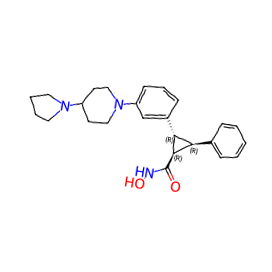 O=C(NO)[C@@H]1[C@H](c2ccccc2)[C@H]1c1cccc(N2CCC(N3CCCC3)CC2)c1